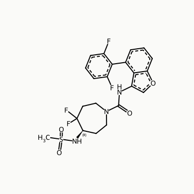 CS(=O)(=O)N[C@@H]1CCN(C(=O)Nc2coc3cccc(-c4c(F)cccc4F)c23)CCC1(F)F